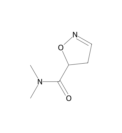 CN(C)C(=O)C1CC=NO1